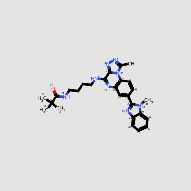 Cc1nnc2c(NCCCCNC(=O)C(C)(C)C)nc3cc(-c4nc5ccccc5n4C)ccc3n12